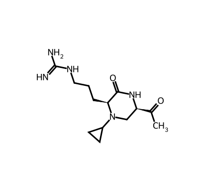 CC(=O)[C@H]1CN(C2CC2)[C@@H](CCCNC(=N)N)C(=O)N1